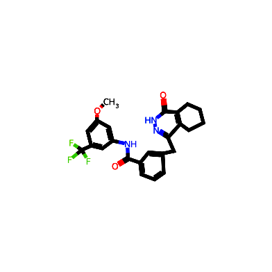 COc1cc(NC(=O)c2cccc(Cc3n[nH]c(=O)c4c3CCCC4)c2)cc(C(F)(F)F)c1